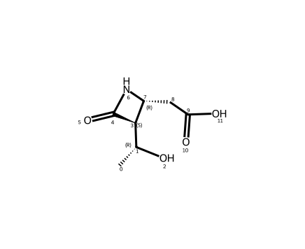 C[C@@H](O)[C@H]1C(=O)N[C@@H]1CC(=O)O